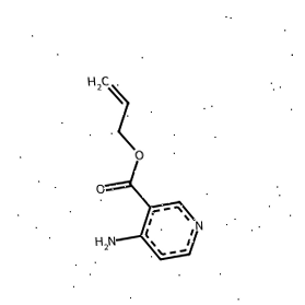 C=CCOC(=O)c1cnccc1N